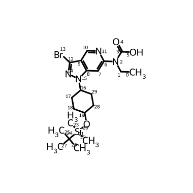 CCN(C(=O)O)c1cc2c(cn1)c(Br)nn2C1CCC(O[Si](C)(C)C(C)(C)C)CC1